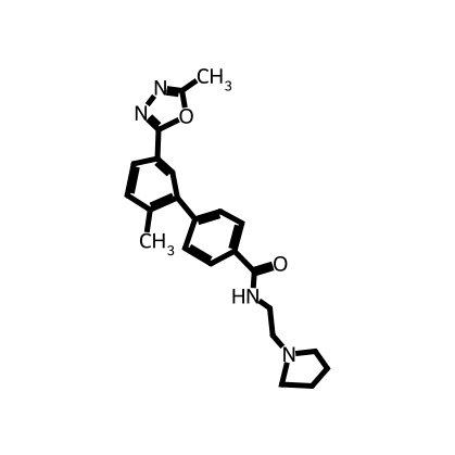 Cc1nnc(-c2ccc(C)c(-c3ccc(C(=O)NCCN4CCCC4)cc3)c2)o1